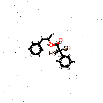 CC(Cc1ccccc1)OC(=O)C(S)(S)c1ccccc1